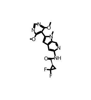 COc1ncnc(OC)c1-c1cc2cc(NC(=O)[C@H]3CC3(F)F)ncc2n1C